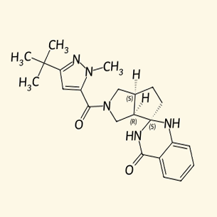 Cn1nc(C(C)(C)C)cc1C(=O)N1C[C@H]2CC[C@]3(NC(=O)c4ccccc4N3)[C@H]2C1